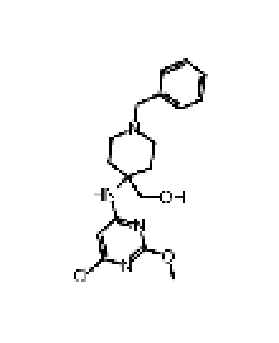 COc1nc(Cl)cc(NC2(CO)CCN(Cc3ccccc3)CC2)n1